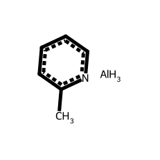 Cc1ccccn1.[AlH3]